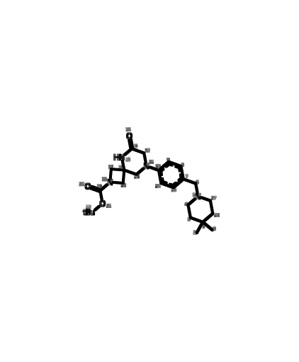 CC1(C)CCN(Cc2ccc(N3CC(=O)NC4(CN(C(=O)OC(C)(C)C)C4)C3)cc2)CC1